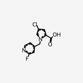 O=C(O)c1cc(Cl)cn1Cc1ccnc(F)c1